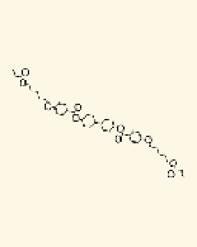 C=CC(=O)OCCCCCOc1ccc(C(=O)OC2CCC(C3CCC(OC(=O)c4ccc(OCCCCCOC(=O)C=C)cc4)CC3)CC2)cc1